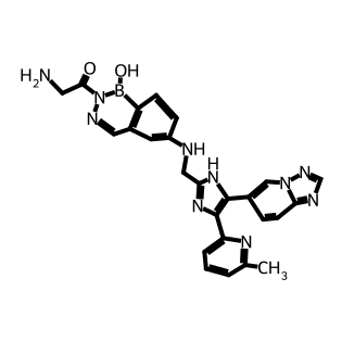 Cc1cccc(-c2nc(CNc3ccc4c(c3)C=NN(C(=O)CN)B4O)[nH]c2-c2ccc3ncnn3c2)n1